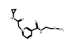 COCCNC(=O)c1ccc[n+](CC(=O)NC2CC2)c1